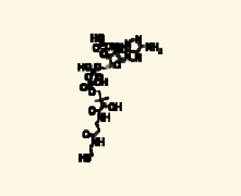 CC(C)(COP(=O)(O)OP(=O)(O)OC[C@H]1O[C@@H](N2CN=C3C(N)=NC=NC32O)[C@H](O)[C@@H]1OP(=O)(O)O)[C@@H](O)C(=O)NCCC(=O)NCCS